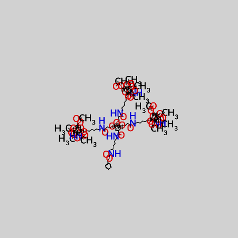 CC(=O)N[C@H]1[C@H](OCCCCCCNC(=O)CCO[C@@H]2[C@H](OCCC(=O)NCCCCCCO[C@@H]3O[C@H](COC(C)=O)[C@H](OC(C)=O)[C@H](OC(C)=O)[C@H]3NC(C)=O)C=C(C(=O)NCCCCCCNC(=O)OCc3ccccc3)C[C@H]2OCCC(=O)NCCCCCCO[C@@H]2O[C@H](COC(C)=O)[C@H](OC(C)=O)[C@H](OC(C)=O)[C@H]2NC(C)=O)O[C@H](COC(C)=O)[C@H](OC(C)=O)[C@@H]1OC(C)=O